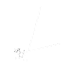 CCCCCCCCCCCCCCCCCCCCCCC(CCCCCCCCCCCCCCCC)CO[C@@H]1O[C@H](CO)[C@H](O)[C@H](OS(=O)(=O)O)[C@H]1O